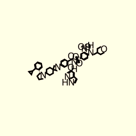 O=C(NS(=O)(=O)c1ccc(NCC2CCOCC2)c([N+](=O)[O-])c1)c1ccc(N2CC3(CCC(N4CCC[C@@H]4c4ccccc4C4CC4)CC3)C2)cc1Oc1cnc2[nH]ccc2c1